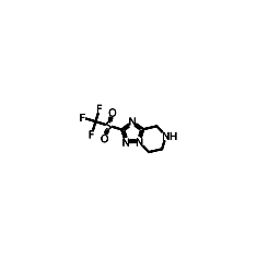 O=S(=O)(c1nc2n(n1)CCNC2)C(F)(F)F